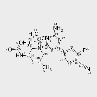 C[C@@H]1C[C@@H](NC(=O)[O-])C[N+](c2cc(-c3ccc(C#N)c(F)c3)nc(N)n2)(C(C)(C)C)C1